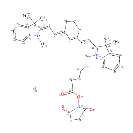 CN1/C(=C\C=C2C=C(/C=C/C3=[N+](CCCCCC(=O)ON4C(=O)CCC4=O)c4ccccc4C3(C)C)CCC\2)C(C)(C)c2ccccc21.[Cl-]